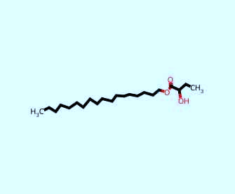 CCCCCCCCCCCCCCCCCCOC(=O)C(O)CC